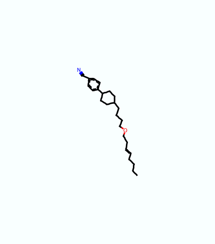 CCCC/C=C/CCOCCCCC1CCC(c2ccc(C#N)cc2)CC1